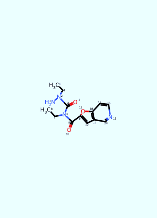 CCN(N)C(=O)N(CC)C(=O)c1cc2cnccc2o1